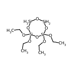 CCO[Si]1(OCC)O[SiH2]O[SiH2]O[Si](OCC)(OCC)O1